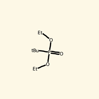 CCOP(=O)(OCC)C(C)(C)C